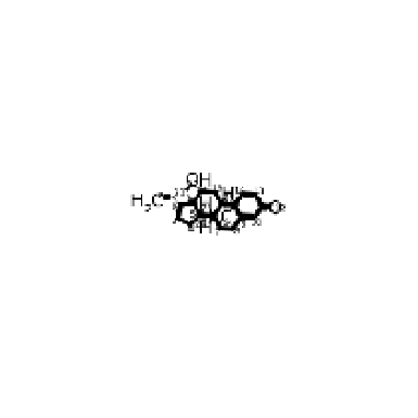 C=C[C@H]1CC[C@H]2[C@@H]3CCC4=CC(=O)C=C[C@]4(C)[C@H]3CC[C@]12CO